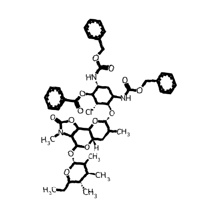 CCC1O[C@H](OC2O[C@H]3CC(C)[C@@H](O[C@@H]4C(NC(=O)OCc5ccccc5)C[C@@H](NC(=O)OCc5ccccc5)C(OC(=O)c5ccccc5)[C@H]4Cl)OC3C3OC(=O)N(C)C23)C(C)[C@@H](C)[C@@H]1C